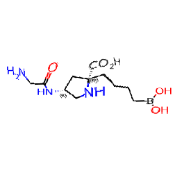 NCC(=O)N[C@H]1CN[C@@](CCCCB(O)O)(C(=O)O)C1